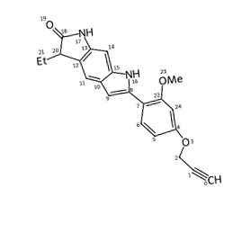 C#CCOc1ccc(-c2cc3cc4c(cc3[nH]2)NC(=O)C4CC)c(OC)c1